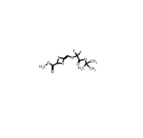 COC(=O)C1SC(=CSC(F)(F)C(=O)OC(C)(C)C)S1